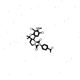 CNc1c(Cl)cc2c(c1Cl)OC(C)(C)C1=CCn3c(=O)n(-c4ccc(C(C)=O)cc4)c(=O)n3C12